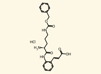 Cl.N[C@@H](CCCNC(=O)OCc1ccccc1)C(=O)Nc1ccccc1/C=C/C(=O)O